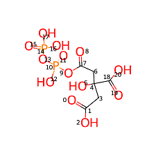 O=C(O)CC(O)(CC(=O)OP(=O)(O)OP(=O)(O)O)C(=O)O